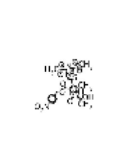 C[C@@H](O)[C@H]1C(=O)N2C(C(=O)OCc3ccc([N+](=O)[O-])cc3)=C(c3cn4c(S(C)(=O)=O)nc(S(C)(=O)=O)c4s3)[C@H](C)[C@H]12